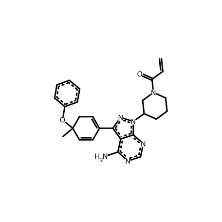 C=CC(=O)N1CCCC(n2nc(C3=CCC(C)(Oc4ccccc4)C=C3)c3c(N)ncnc32)C1